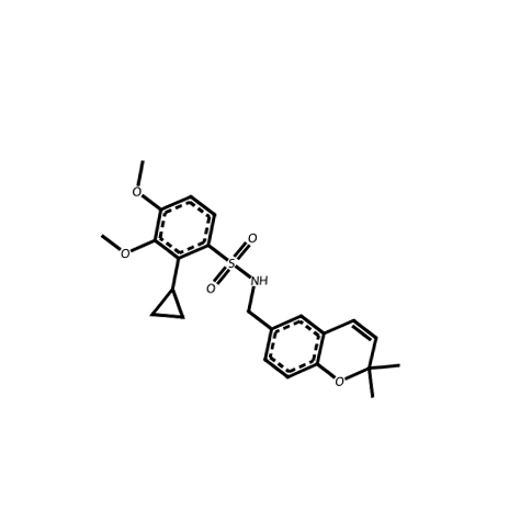 COc1ccc(S(=O)(=O)NCc2ccc3c(c2)C=CC(C)(C)O3)c(C2CC2)c1OC